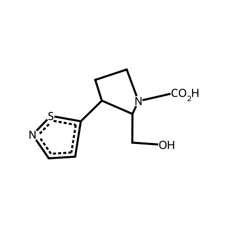 O=C(O)N1CCC(c2ccns2)C1CO